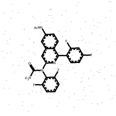 CC(=O)Nc1ccc2c(-c3ccc(F)cc3F)nc(N(C(N)=O)c3c(F)cccc3F)cc2c1